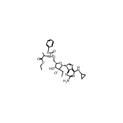 CCOC(=O)C(C)N[P@@](=O)(OC[C@H]1O[C@@H](n2cnc3c(NC4CC4)nc(N)nc32)[C@@](Cl)(CF)[C@@H]1O)Oc1ccccc1